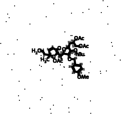 C=CC[C@]1(C)C=CC(=O)C([C@@H](OC(C)=O)C2OC(C[C@H](COC(C)=O)OC(C)=O)C(OCCCC)[C@H]2OCc2ccc(OC)cc2)O1